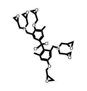 Cc1cc(C(Cl)(Cl)c2c(C)cc(OCC3CO3)cc2CN(CC2CO2)CC2CO2)cc(CN(CC2CO2)CC2CO2)c1OCC1CO1